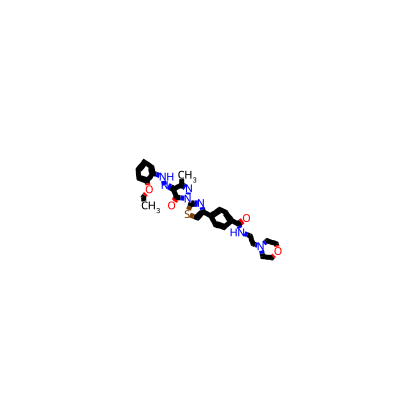 CCOc1ccccc1N/N=C1/C(=O)N(c2nc(-c3ccc(C(=O)NCCN4CCOCC4)cc3)cs2)N=C1C